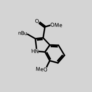 CCCCc1[nH]c2c(OC)cccc2c1C(=O)OC